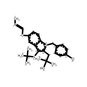 C/N=C/Oc1ccc2c(c1)c(SC(C)(C)C)c(CC(C)(C)O)n2Cc1ccc(Cl)cc1